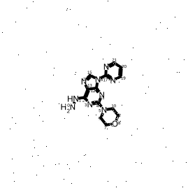 NNc1nc(N2CCOCC2)nc2c1ncn2-c1ncccn1